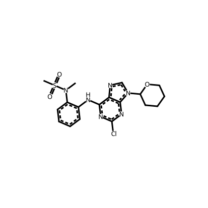 CN(c1ccccc1Nc1nc(Cl)nc2c1ncn2C1CCCCO1)S(C)(=O)=O